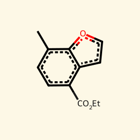 CCOC(=O)c1ccc(C)c2occc12